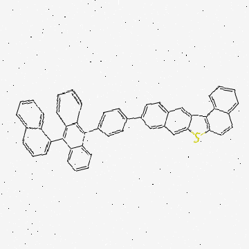 c1ccc2c(-c3c4ccccc4c(-c4ccc(-c5ccc6cc7c(cc6c5)sc5ccc6ccccc6c57)cc4)c4ccccc34)cccc2c1